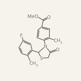 COC(=O)c1ccc(N2C(=O)CSC2c2cc(F)ccc2C)c(C)c1